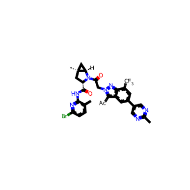 CC(=O)c1c2cc(-c3cnc(C)nc3)cc(C(F)(F)F)c2nn1CC(=O)N1[C@H](C(=O)Nc2nc(Br)ccc2C)C[C@@]2(C)C[C@@H]12